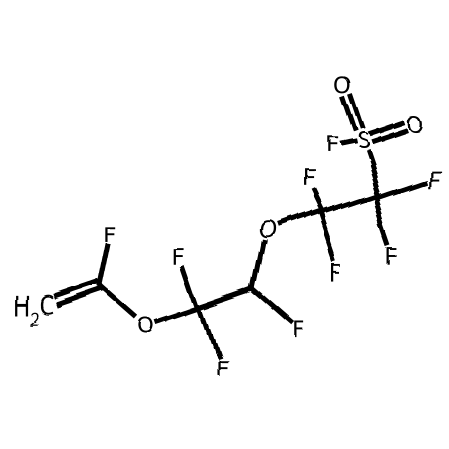 C=C(F)OC(F)(F)C(F)OC(F)(F)C(F)(F)S(=O)(=O)F